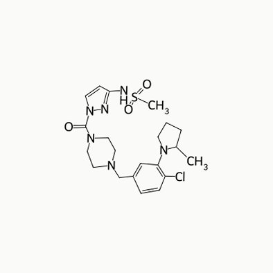 CC1CCCN1c1cc(CN2CCN(C(=O)n3ccc(NS(C)(=O)=O)n3)CC2)ccc1Cl